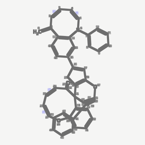 C=C1/C=C\C=C/N(c2ccccc2)c2cc(C3=CC4=C(C3)C3(C(=C)/C=C\C=C/Oc5ccccc53)c3c(cccc3-c3ccccc3)O4)ccc21